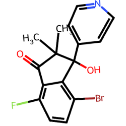 CC1(C)C(=O)c2c(F)ccc(Br)c2C1(O)c1ccncc1